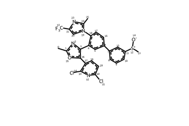 Cc1nc(-c2cc(-c3cccc([S+](C)[O-])c3)ccc2-n2cc(C(F)(F)F)nc2C)c(-c2ccc(Cl)nc2Cl)o1